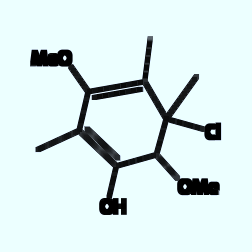 COC1=C(C)C(C)(Cl)C(OC)C(O)=C1C